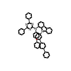 c1ccc(-c2ccc(-c3cccc(-n4c5ccccc5c5cccc(N(c6ccc(-c7ccccc7)cc6)c6nc(-c7ccccc7)nc(-c7ccccc7)n6)c54)c3)cc2)cc1